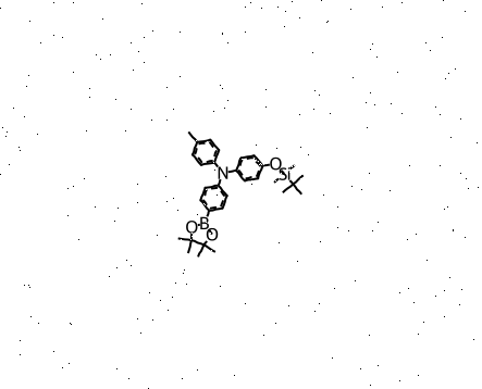 Cc1ccc(N(c2ccc(O[Si](C)(C)C(C)(C)C)cc2)c2ccc(B3OC(C)(C)C(C)(C)O3)cc2)cc1